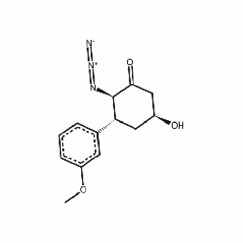 COc1cccc([C@H]2C[C@H](O)CC(=O)[C@@H]2N=[N+]=[N-])c1